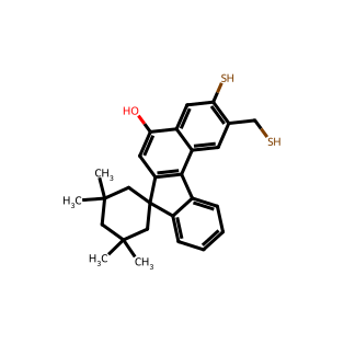 CC1(C)CC(C)(C)CC2(C1)c1ccccc1-c1c2cc(O)c2cc(S)c(CS)cc12